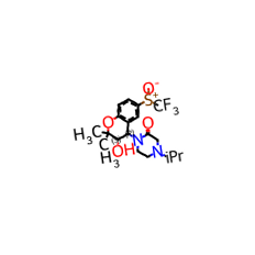 CC(C)N1CCN([C@@H]2c3cc([S+]([O-])C(F)(F)F)ccc3OC(C)(C)[C@H]2O)C(=O)C1